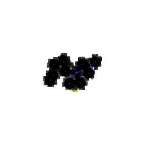 c1ccc(-n2c3ccccc3c3c(-c4nc(-c5ccc(-n6c7ccccc7c7cc8ccccc8cc76)c6c5sc5ccccc56)nc(-c5cccc6sc7ccccc7c56)n4)cccc32)cc1